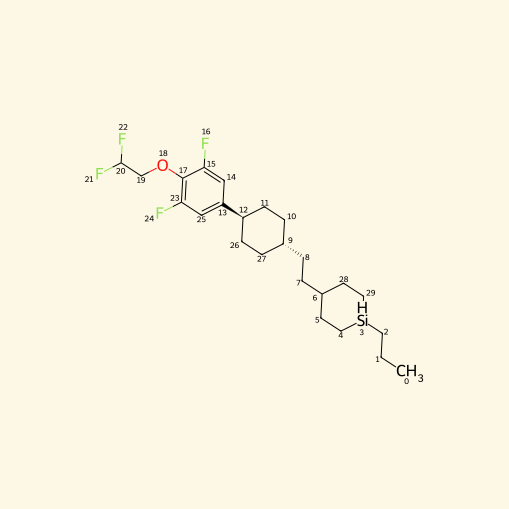 CCC[SiH]1CCC(CC[C@H]2CC[C@H](c3cc(F)c(OCC(F)F)c(F)c3)CC2)CC1